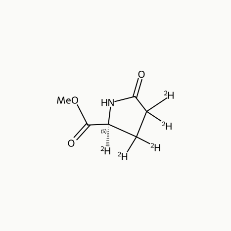 [2H]C1([2H])C(=O)N[C@]([2H])(C(=O)OC)C1([2H])[2H]